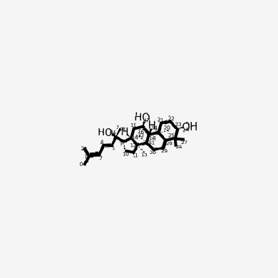 CC(C)=CCC[C@](C)(O)[C@H]1CC[C@@]2(C)[C@@H]1C[C@@H](O)[C@@H]1[C@@]3(C)CC[C@H](O)C(C)(C)C3CC[C@]12C